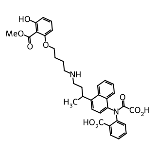 COC(=O)c1c(O)cccc1OCCCCNCCC(C)c1ccc(N(C(=O)C(=O)O)c2ccccc2C(=O)O)c2ccccc12